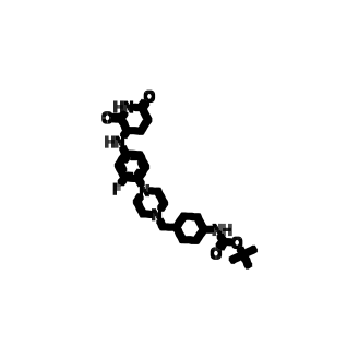 CC(C)(C)OC(=O)NC1CCC(CN2CCN(c3ccc(NC4CCC(=O)NC4=O)cc3F)CC2)CC1